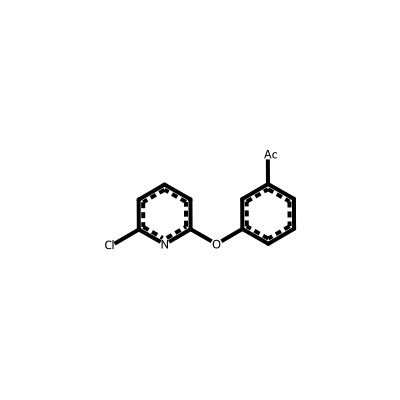 CC(=O)c1cccc(Oc2cccc(Cl)n2)c1